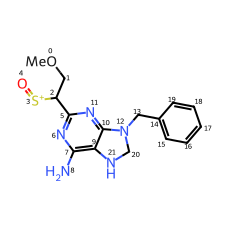 COCC([S+]=O)c1nc(N)c2c(n1)N(Cc1ccccc1)CN2